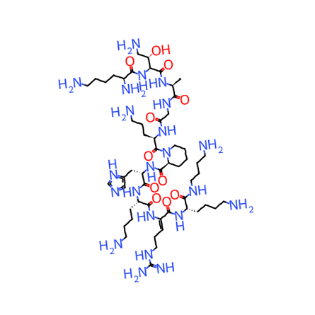 C[C@H](NC(=O)[C@@H](NC(=O)[C@@H](N)CCCCN)[C@@H](O)CN)C(=O)NCC(=O)N[C@H](CCCN)C(=O)N1CCCC[C@H]1C(=O)N[C@@H](Cc1cnc[nH]1)C(=O)N[C@@H](CCCCN)C(=O)N/C(=C\CCNC(=N)N)C(=O)N[C@@H](CCCCN)C(=O)NCCCCN